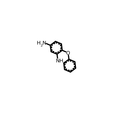 Nc1ccc(Oc2ccccc2)c(N)c1